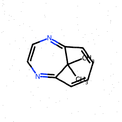 CC1(C)C2=NC=CN=C1C=CC=C2